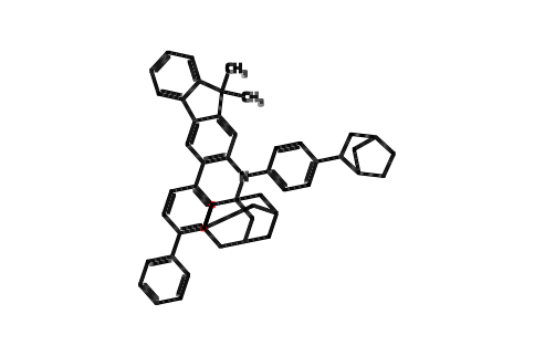 CC1(C)c2ccccc2-c2cc(-c3ccc(-c4ccccc4)cc3)c(N(c3ccc(C4CC5CCC4C5)cc3)C34CC5CC(CC(C5)C3)C4)cc21